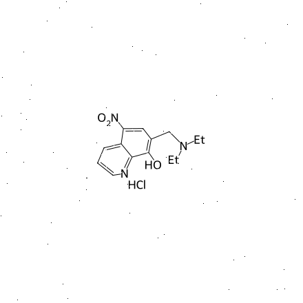 CCN(CC)Cc1cc([N+](=O)[O-])c2cccnc2c1O.Cl